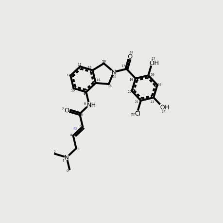 CN(C)C/C=C/C(=O)Nc1cccc2c1CN(C(=O)c1cc(Cl)c(O)cc1O)C2